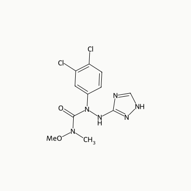 CON(C)C(=O)N(Nc1nc[nH]n1)c1ccc(Cl)c(Cl)c1